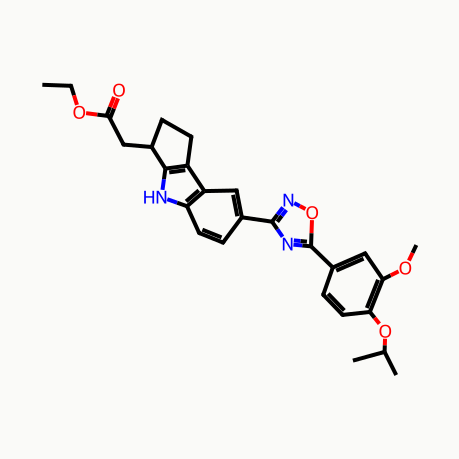 CCOC(=O)CC1CCc2c1[nH]c1ccc(-c3noc(-c4ccc(OC(C)C)c(OC)c4)n3)cc21